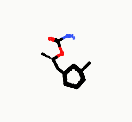 Cc1cccc(C[C@H](C)OC(N)=O)c1